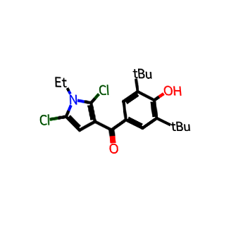 CCn1c(Cl)cc(C(=O)c2cc(C(C)(C)C)c(O)c(C(C)(C)C)c2)c1Cl